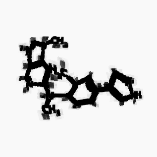 Cc1cc(-c2cn[nH]c2)ccc1N(C)c1cc2c(cn1)ncn2C